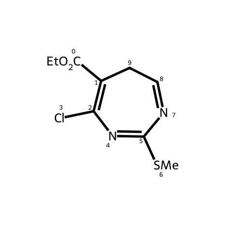 CCOC(=O)C1=C(Cl)N=C(SC)N=CC1